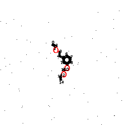 C=COCCc1cccc(OCOC=C)c1